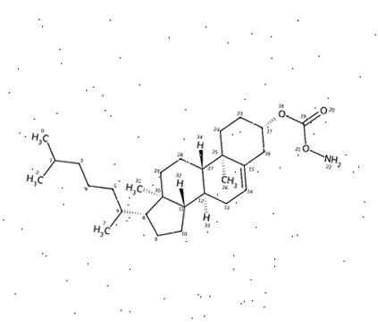 CC(C)CCCC(C)[C@H]1CC[C@H]2[C@@H]3CC=C4C[C@@H](OC(=O)ON)CC[C@]4(C)[C@H]3CC[C@]12C